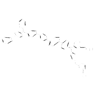 C=C(/C=C\CCC(C)C/C=C\CC)N(/C(=C/C=C\C)CC)c1ccc(-c2ccc(-c3ccc(-c4ccc(N(C5=CCC(c6ccccc6)C=C5)[C@@H]5C=CC=CC5)cc4)cc3)cc2)cc1